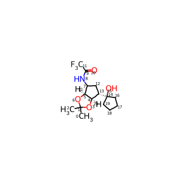 CC1(C)O[C@H]2[C@@H](O1)C(NC(=O)C(F)(F)F)C[C@@H]2C1(O)CCCC1